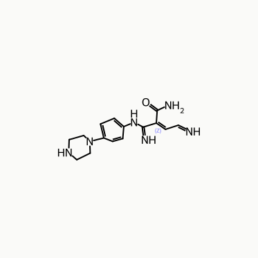 N=C/C=C(/C(=N)Nc1ccc(N2CCNCC2)cc1)C(N)=O